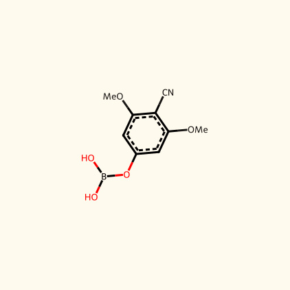 COc1cc(OB(O)O)cc(OC)c1C#N